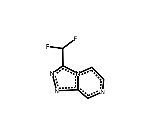 FC(F)c1nnc2cnccn12